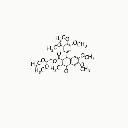 COc1cc2c(cc1OC)C(c1cc(OC)c(OC)c(OC)c1)C(C(=O)OCC(OC)OC)C(C)C2=O